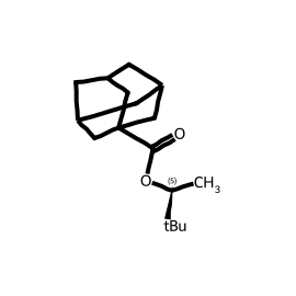 C[C@H](OC(=O)C12CC3CC(CC(C3)C1)C2)C(C)(C)C